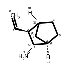 C=C[C@H]1[C@H]2CC[C@H](C2)[C@@H]1N